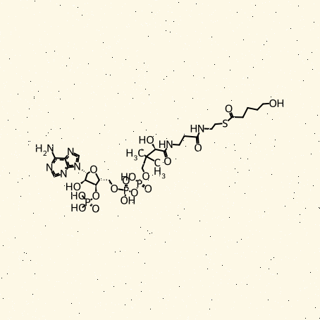 CC(C)(COP(=O)(O)OP(=O)(O)OC[C@H]1O[C@@H](n2cnc3c(N)ncnc32)[C@H](O)[C@@H]1OP(=O)(O)O)[C@@H](O)C(=O)NCCC(=O)NCCSC(=O)CCCCO